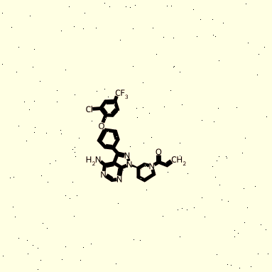 C=CC(=O)N1CCC[C@@H](n2nc(-c3ccc(Oc4ccc(C(F)(F)F)cc4Cl)cc3)c3c(N)ncnc32)C1